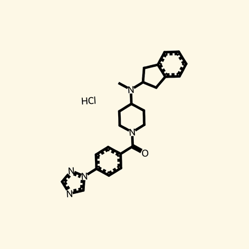 CN(C1CCN(C(=O)c2ccc(-n3cncn3)cc2)CC1)C1Cc2ccccc2C1.Cl